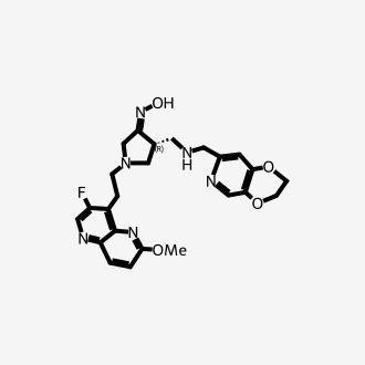 COc1ccc2ncc(F)c(CCN3CC(=NO)[C@H](CNCc4cc5c(cn4)OCCO5)C3)c2n1